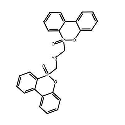 O=P1(CBCP2(=O)Oc3ccccc3-c3ccccc32)Oc2ccccc2-c2ccccc21